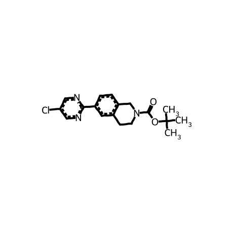 CC(C)(C)OC(=O)N1CCc2cc(-c3ncc(Cl)cn3)ccc2C1